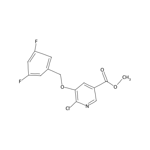 COC(=O)c1cnc(Cl)c(OCc2cc(F)cc(F)c2)c1